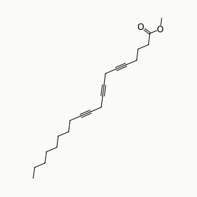 CCCCCCCCC#CCC#CCC#CCCCC(=O)OC